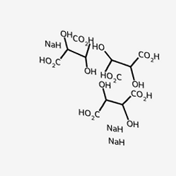 O=C(O)C(O)C(O)C(=O)O.O=C(O)C(O)C(O)C(=O)O.O=C(O)C(O)C(O)C(=O)O.[NaH].[NaH].[NaH]